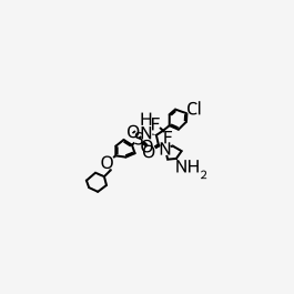 N[C@H]1CCN(C(=O)[C@H](NS(=O)(=O)c2ccc(OCC3CCCCC3)cc2)C(F)(F)c2ccc(Cl)cc2)C1